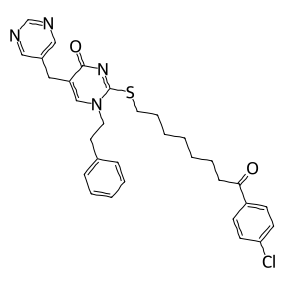 O=C(CCCCCCCSc1nc(=O)c(Cc2cncnc2)cn1CCc1ccccc1)c1ccc(Cl)cc1